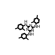 Cc1ccc(Nc2nc(Nc3ccc(C)cc3C)nc(Nc3ccc(C)cc3C)n2)c(C)c1